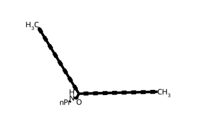 CC#CC#CC#CC#CC#CC#CC#CC#CC(C#CC#CC#CC#CC#CC#CC#CC#CC)C(=O)NCCC